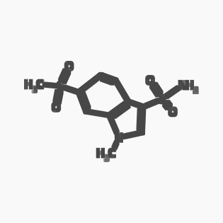 Cn1cc(S(N)(=O)=O)c2ccc(S(C)(=O)=O)cc21